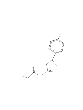 CC(C)(C)CC(=O)OC1=NOC(c2ccc(C#N)cc2)C1